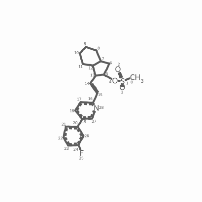 CS(=O)(=O)OC1CC2CCCCC2C1C=Cc1ccc(-c2cccc(F)c2)cn1